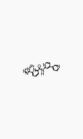 CC(C)n1cnnc1-c1cccc(C(=O)Nc2cc(-c3cccnc3)ccn2)n1